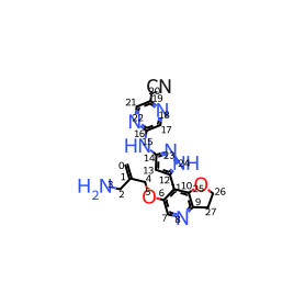 C=C(CN)COc1cnc2c(c1-c1cc(Nc3cnc(C#N)cn3)n[nH]1)OCC2